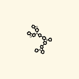 c1ccc(-n2c3ccccc3c3cc(-c4ccc5c(c4)c4cc(-c6ccc(N(c7ccc8oc9ccccc9c8c7)c7ccc8oc9ccccc9c8c7)cc6)ccc4n5-c4ccccc4)ccc32)cc1